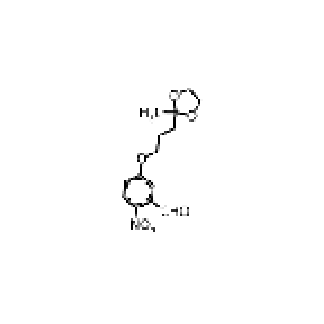 CC1(CCCOc2ccc([N+](=O)[O-])c(C=O)c2)OCCO1